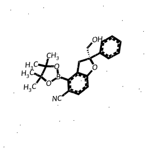 CC1(C)OB(c2c(C#N)ccc3c2C[C@@](CO)(c2ccccc2)O3)OC1(C)C